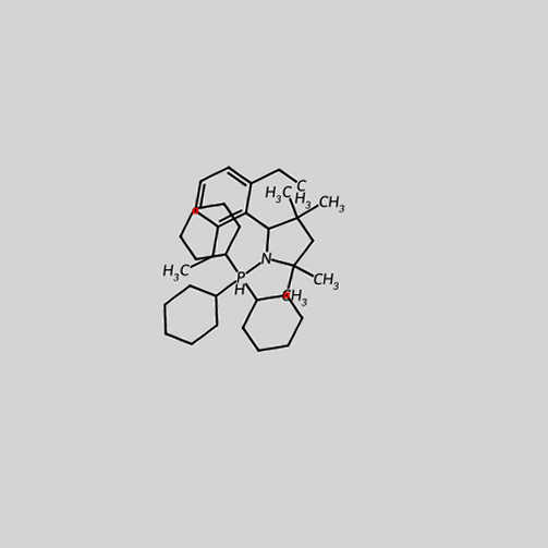 CCc1cccc(CC)c1C1N([PH](C2CCCCC2)(C2CCCCC2)C2CCCCC2)C(C)(C)CC1(C)C